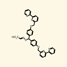 O=C(O)C=NOC(c1ccc(OCc2cccc(-c3ccccn3)n2)cc1)c1ccc(OCc2cccc(-c3ccccn3)n2)cc1